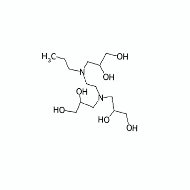 CCCN(CCN(CC(O)CO)CC(O)CO)CC(O)CO